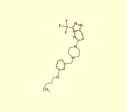 CCCCOc1cccc(CN2CCN(c3ccc4nnc(C(F)(F)F)n4n3)CC2)c1